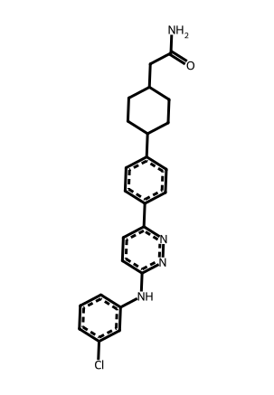 NC(=O)CC1CCC(c2ccc(-c3ccc(Nc4cccc(Cl)c4)nn3)cc2)CC1